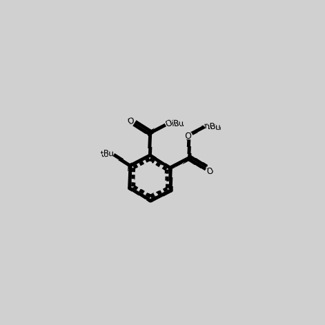 CCCCOC(=O)c1cccc(C(C)(C)C)c1C(=O)OCC(C)C